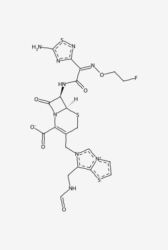 Nc1nc(/C(=N/OCCF)C(=O)N[C@@H]2C(=O)N3C(C(=O)[O-])=C(Cn4c[n+]5ccsc5c4CNC=O)CS[C@H]23)ns1